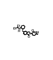 C=C1CCC(N2Cc3cc(C[C@H]4CCCC[C@@H]4NC(CC)CC)ccc3C2=O)C(=O)N1